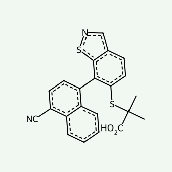 CC(C)(Sc1ccc2cnsc2c1-c1ccc(C#N)c2ccccc12)C(=O)O